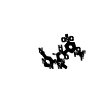 Cc1nc([C@H](C)NC(=O)c2cc(OC(F)(F)F)cc(S(C)(=O)=O)c2)n(-c2cc(C#N)ncn2)n1